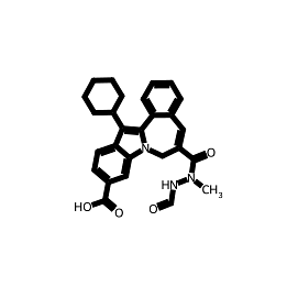 CN(NC=O)C(=O)C1=Cc2ccccc2-c2c(C3CCCCC3)c3ccc(C(=O)O)cc3n2C1